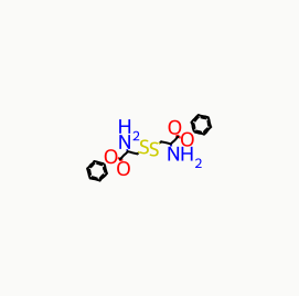 N[C@@H](CSSC[C@H](N)C(=O)Oc1ccccc1)C(=O)Oc1ccccc1